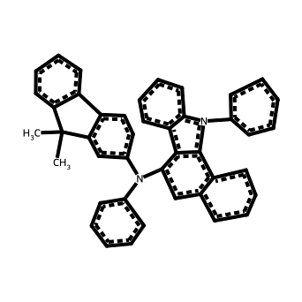 CC1(C)c2ccccc2-c2ccc(N(c3ccccc3)c3cc4ccccc4c4c3c3ccccc3n4-c3ccccc3)cc21